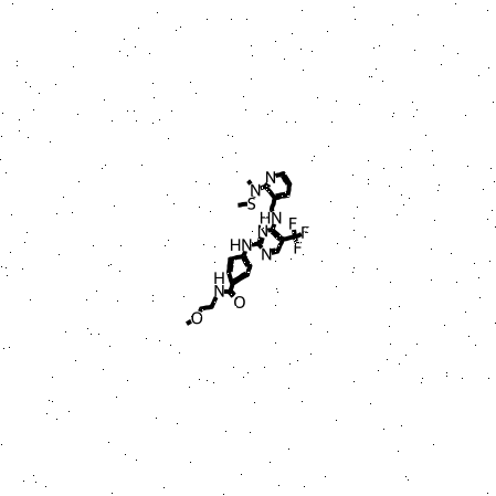 COCCNC(=O)c1ccc(Nc2ncc(C(F)(F)F)c(NCc3cccnc3N(C)SC)n2)cc1